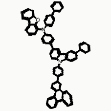 c1ccc(-c2ccc(N(c3ccc(-c4ccc5c(c4)c4cc(-c6ccccc6)ccc4n5-c4ccc(-c5ccc6c7ccccc7c7ccccc7c6c5)cc4)cc3)c3cccc4c3oc3ccccc34)cc2)cc1